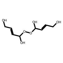 OCC=CC(O)OOC(O)C=CCO